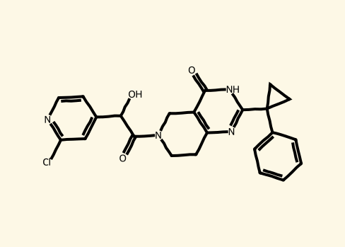 O=C(C(O)c1ccnc(Cl)c1)N1CCc2nc(C3(c4ccccc4)CC3)[nH]c(=O)c2C1